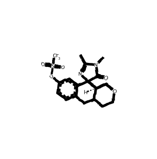 CC1=NC2(C(=O)N1C)c1cc(OS(=O)(=O)C(F)(F)F)ccc1CC1CCOC[C@@H]12